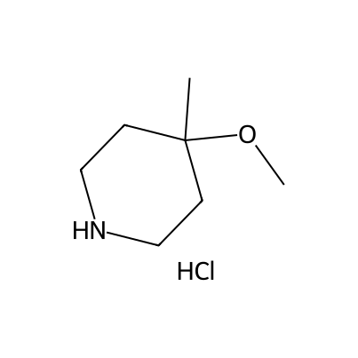 COC1(C)CCNCC1.Cl